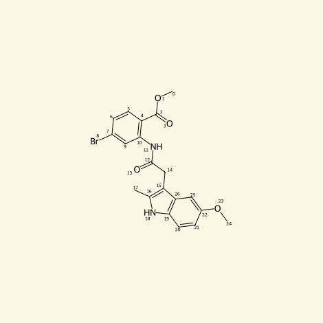 COC(=O)c1ccc(Br)cc1NC(=O)Cc1c(C)[nH]c2ccc(OC)cc12